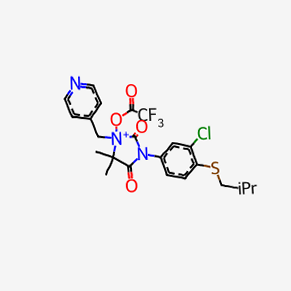 CC(C)CSc1ccc(N2C(=O)C(C)(C)[N+](Cc3ccncc3)(OC(=O)C(F)(F)F)C2=O)cc1Cl